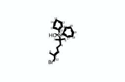 C/C(=C\CCC(C)(C)[Si](O)(c1ccccc1)c1ccccc1)CBr